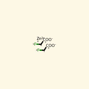 O=C([O-])CF.O=C([O-])CF.[Zn+2]